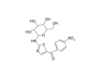 O=C(c1ccc([N+](=O)[O-])cc1)c1cnc(NC2OC(CO)C(O)C(O)C2O)s1